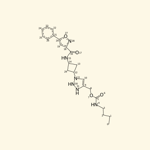 CCCCNC(=O)OCC1=CN(C2CC(NC(=O)c3cc(-c4ccccc4)on3)C2)NN1